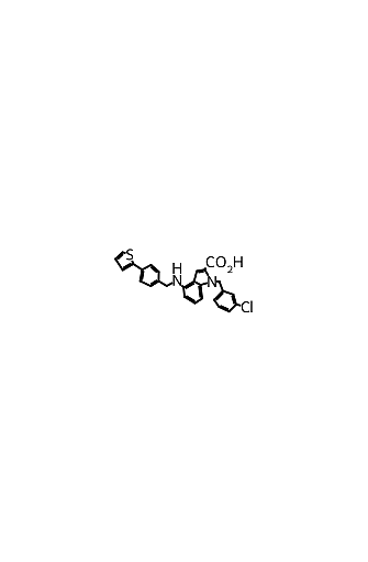 O=C(O)c1cc2c(NCc3ccc(-c4cccs4)cc3)cccc2n1Cc1cccc(Cl)c1